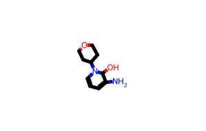 NC1=CC=CN(C2CCOCC2)C1O